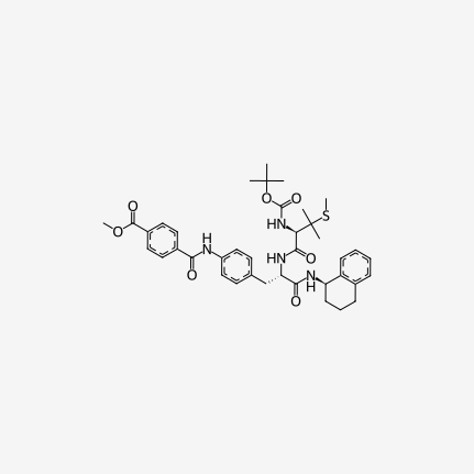 COC(=O)c1ccc(C(=O)Nc2ccc(C[C@H](NC(=O)[C@@H](NC(=O)OC(C)(C)C)C(C)(C)SC)C(=O)N[C@@H]3CCCc4ccccc43)cc2)cc1